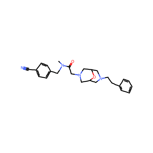 CN(Cc1ccc(C#N)cc1)C(=O)CN1CC2CN(CCc3ccccc3)CC(C1)O2